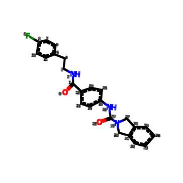 O=C(NCCc1ccc(F)cc1)c1ccc(NC(=O)N2Cc3ccccc3C2)cc1